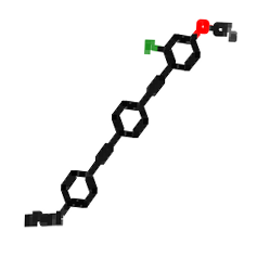 CCCCCc1ccc(C#Cc2ccc(C#Cc3ccc(OC(F)(F)F)cc3F)cc2)cc1